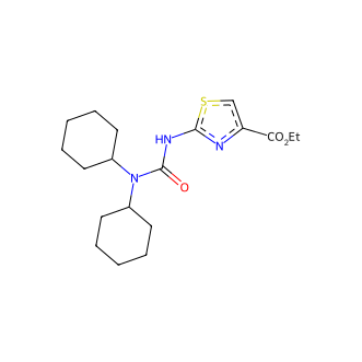 CCOC(=O)c1csc(NC(=O)N(C2CCCCC2)C2CCCCC2)n1